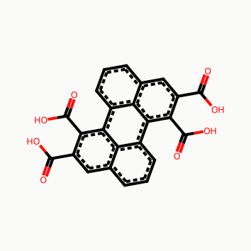 O=C(O)c1cc2cccc3c4c(C(=O)O)c(C(=O)O)cc5cccc(c(c1C(=O)O)c23)c54